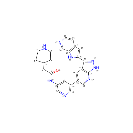 O=C(CC1CCNCC1)Nc1cncc(-c2cnc3[nH]nc(-c4cc5ccncc5[nH]4)c3c2)c1